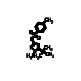 Cc1ccc(S(=O)(=O)Oc2cc(C(C)(C)C)n(N)n2)cc1